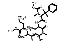 COC(N[C@H](CCC(=O)O)C(=O)OC(C)(C)C)/C(C)=C/[C@H](C(C)C)N(C)C(=O)C(CC(C)(C)C)NC(=O)[C@@H](N(C)C(=O)OC(C)(C)C)C(C)(C)c1ccccc1